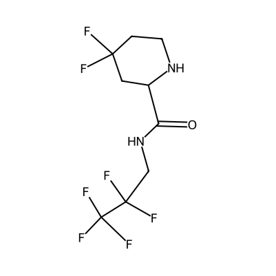 O=C(NCC(F)(F)C(F)(F)F)C1CC(F)(F)CCN1